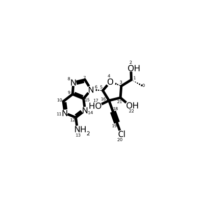 C[C@@H](O)[C@H]1O[C@@H](n2cnc3cnc(N)nc32)C(O)(C#CCl)C1O